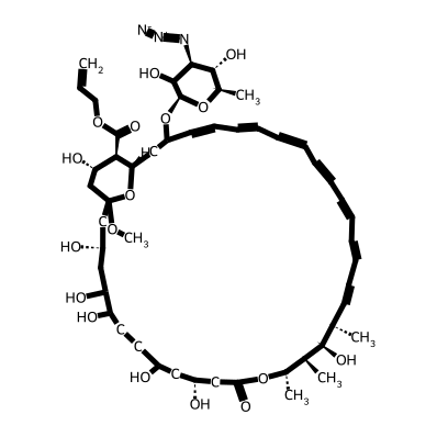 C=CCOC(=O)[C@H]1[C@@H]2CC(O[C@@H]3O[C@H](C)[C@@H](O)[C@H](N=[N+]=[N-])C3O)/C=C/C=C/C=C/C=C/C=C/C=C/C=C/[C@H](C)[C@@H](O)[C@@H](C)[C@H](C)OC(=O)C[C@H](O)CC(O)CCC(O)C(O)C[C@H](O)CC(OC)(C[C@@H]1O)O2